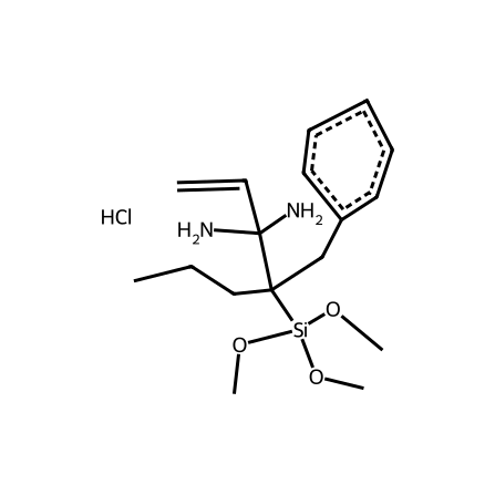 C=CC(N)(N)C(CCC)(Cc1ccccc1)[Si](OC)(OC)OC.Cl